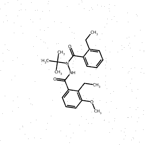 CCc1ccccc1C(=O)N(NC(=O)c1cccc(OC)c1CC)C(C)(C)C